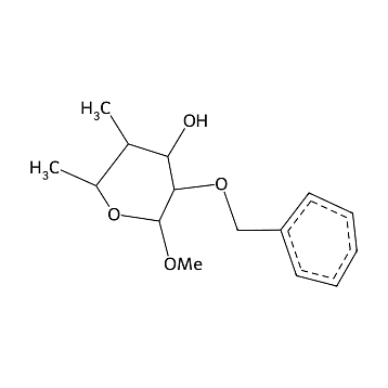 COC1OC(C)C(C)C(O)C1OCc1ccccc1